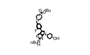 CCCCNc1ncc2c(-c3ccc(CN4CCN(C(=O)OC(C)(C)C)CC4)cc3F)cn([C@H]3CC[C@H](O)CC3)c2n1